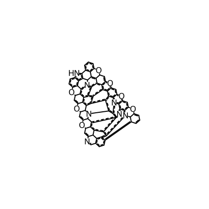 C1=CC2=c3ccc4c5c3=c3c6c7c8c9c%10c%11c%12c%13c%14c%15c%16c%17c%18c%19n%20c%21c%22c%23c(oc%24cc%25oc%26cc%27c(c(c%26n%11c%25c%13c%24c%23c%14c%17%21)n6%10)n3C2C(=C1)O%27)=CC1Oc2cccc3c2C(=C%221)C%20c1c-3[nH]c2ccc(c-%19c12)OC%18C=C%16OC1C=C(OC8C=C(N=C4)C57)C9N%12C%151